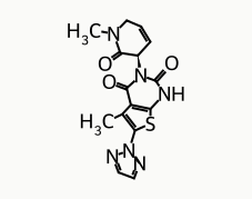 Cc1c(-n2nccn2)sc2[nH]c(=O)n([C@@H]3C=CCN(C)C3=O)c(=O)c12